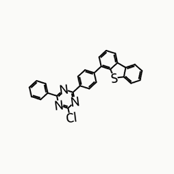 Clc1nc(-c2ccccc2)nc(-c2ccc(-c3cccc4c3sc3ccccc34)cc2)n1